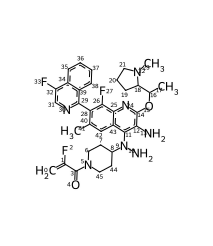 C=C(F)C(=O)N1CCC(N(N)c2c(N)c(OC(C)C3CCCN3C)nc3c(F)c(-c4ncc(F)c5ccccc45)c(C)cc23)CC1